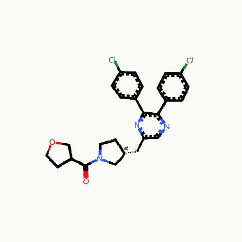 O=C(C1CCOC1)N1CC[C@H](Cc2cnc(-c3ccc(Cl)cc3)c(-c3ccc(Cl)cc3)n2)C1